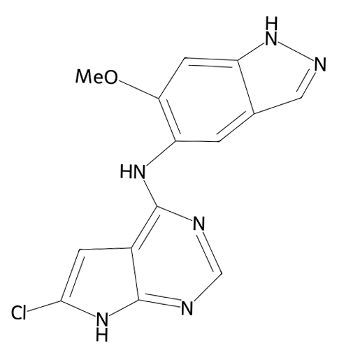 COc1cc2[nH]ncc2cc1Nc1ncnc2[nH]c(Cl)cc12